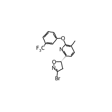 Cc1ccc([C@@H]2CC(Br)=NO2)nc1Oc1cccc(C(F)(F)F)c1